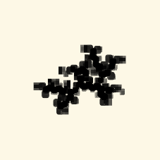 COc1nc(C(CC(=O)CC(SC[C@H](NC(=O)CC[C@H](N)C(=O)O)C(=O)NCC(=O)O)c2cc(O)nc(C)n2)SC[C@H](NC(=O)CC[C@@H](N)C(=O)O)C(=O)NCC(=O)O)ncc1O